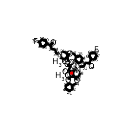 CC1(OC(=O)C(=O)OC2(C)Oc3ccccc3COC23CCN(CCCC(=O)c2ccc(F)cc2)CC3)Oc2ccccc2COC12CCN(CCCC(=O)c1ccc(F)cc1)CC2